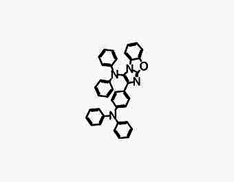 c1ccc(N(c2ccccc2)c2ccc(-c3nc4oc5ccccc5n4c3N(c3ccccc3)c3ccccc3)cc2)cc1